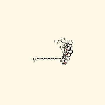 CCCCCCCCCCCCCCCC(=O)C(OP(=O)([O-])OCC[N+](C)(C)C)(C(=O)O)[C@H](CO)OC1CC[C@@]2(C)C(=CCC3C2CC[C@@]2(C)C3CC[C@@H]2[C@H](C)CCCC(C)C)C1